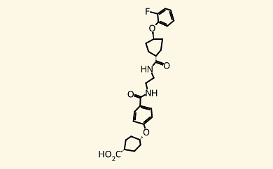 O=C(NCCNC(=O)[C@H]1CC[C@H](Oc2ccccc2F)CC1)c1ccc(O[C@H]2CC[C@@H](C(=O)O)CC2)cc1